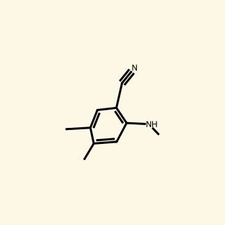 CNc1cc(C)c(C)cc1C#N